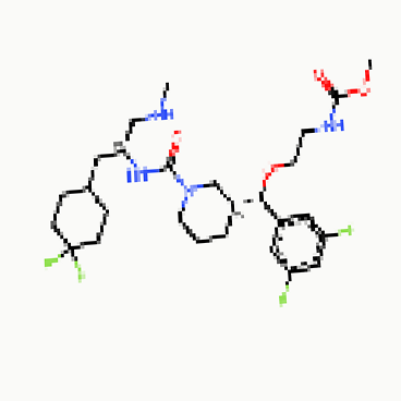 CNC[C@H](CC1CCC(F)(F)CC1)NC(=O)N1CCC[C@@H](C(OCCNC(=O)OC)c2cc(F)cc(F)c2)C1